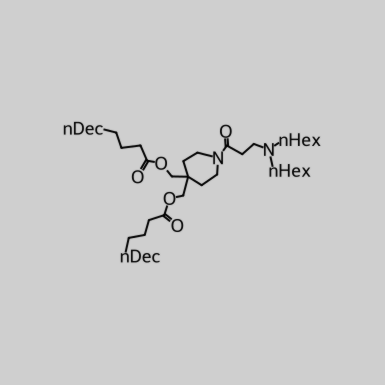 CCCCCCCCCCCCCC(=O)OCC1(COC(=O)CCCCCCCCCCCCC)CCN(C(=O)CCN(CCCCCC)CCCCCC)CC1